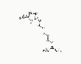 CN(C)CCCCCSCc1nnc(S)s1